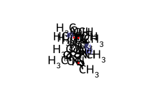 CO[C@@H](/C=C/O)[C@@H](C)[C@@](O)(OC(C)=O)[C@H](C)[C@H](O)[C@H](C)[C@@H](O)[C@@H](C)/C=C/C=C(/C)C(=O)Nc1c(O)c2c(O)c(C)c3c(c2c2nc4cc(C)ccn4c12)C(=O)[C@H](C)O3